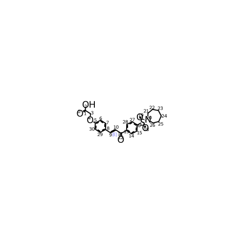 O=C(O)COc1ccc(/C=C/C(=O)c2ccc(S(=O)(=O)N3CCCCCC3)cc2)cc1